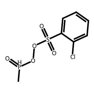 C[PH](=O)OOS(=O)(=O)c1ccccc1Cl